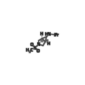 CC(C)NC1[C@H]2CN(S(C)(=O)=O)C[C@@H]12